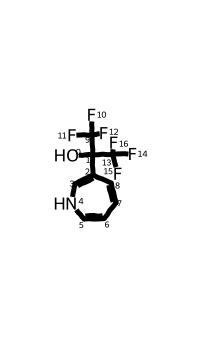 OC(C1=CNC=CC=C1)(C(F)(F)F)C(F)(F)F